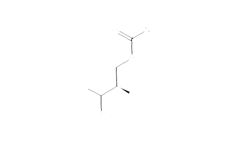 CC(C)(C)C(O)[C@H](O)COC(N)=O